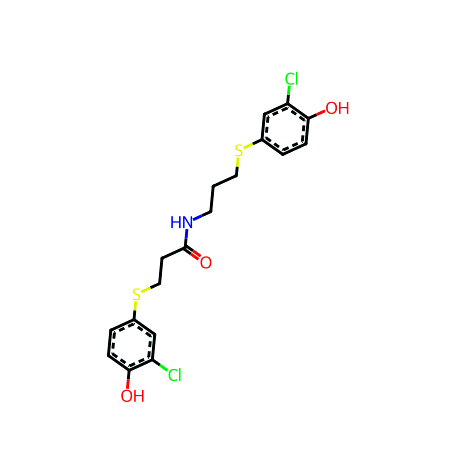 O=C(CCSc1ccc(O)c(Cl)c1)NCCCSc1ccc(O)c(Cl)c1